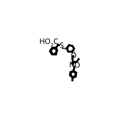 Cc1ccc(-c2nc(CO[C@@H]3CCC[C@H](CSC(C(=O)O)c4ccccc4)C3)c(C)o2)cc1